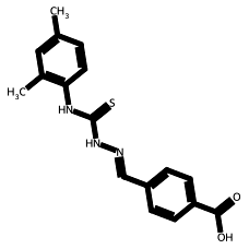 Cc1ccc(NC(=S)NN=Cc2ccc(C(=O)O)cc2)c(C)c1